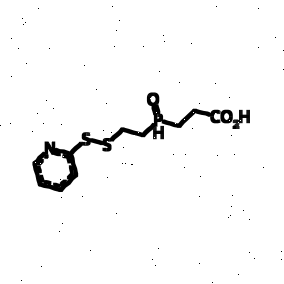 O=C(O)CC[PH](=O)CCSSc1ccccn1